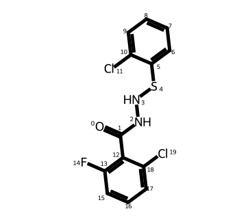 O=C(NNSc1ccccc1Cl)c1c(F)cccc1Cl